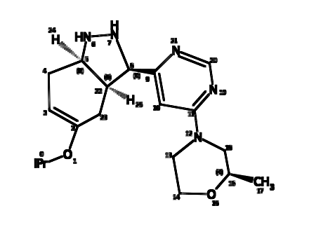 CC(C)OC1=CC[C@H]2NN[C@@H](c3cc(N4CCO[C@H](C)C4)ncn3)[C@H]2C1